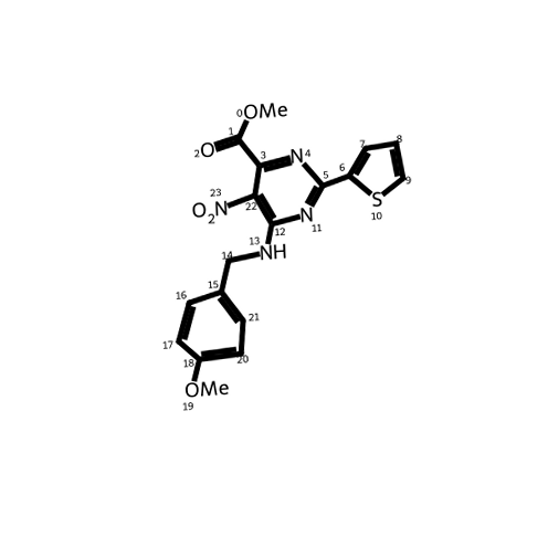 COC(=O)c1nc(-c2cccs2)nc(NCc2ccc(OC)cc2)c1[N+](=O)[O-]